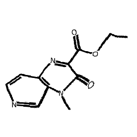 CCOC(=O)c1nc2ccncc2n(C)c1=O